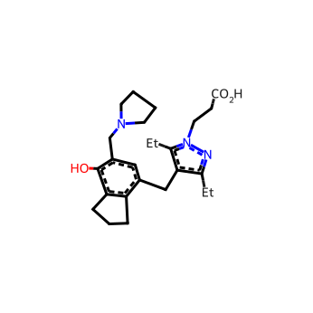 CCc1nn(CCC(=O)O)c(CC)c1Cc1cc(CN2CCCC2)c(O)c2c1CCC2